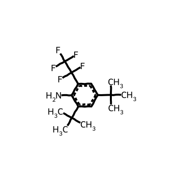 CC(C)(C)c1cc(C(C)(C)C)c(N)c(C(F)(F)C(F)(F)F)c1